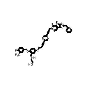 Cn1c2nc(Cc3ccccn3)sc2c2cnn(CC#Cc3cnc(C#CCCOc4ccc(OCc5ccc(F)c(C(F)(F)F)c5)c(CNCCO)c4)cn3)c(=O)c21